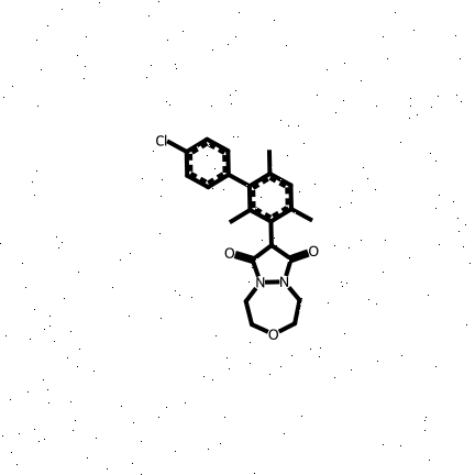 Cc1cc(C)c(C2C(=O)N3CCOCCN3C2=O)c(C)c1-c1ccc(Cl)cc1